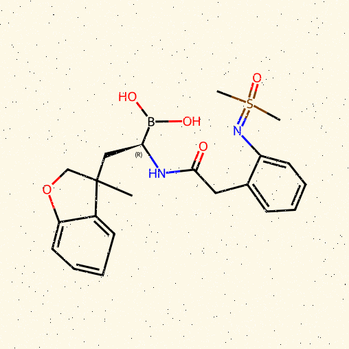 CC1(C[C@H](NC(=O)Cc2ccccc2N=S(C)(C)=O)B(O)O)COc2ccccc21